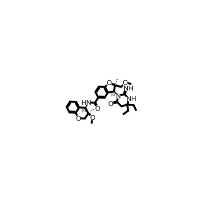 CCC1(CC)CC(=O)N([C@H]2c3cc(C(=O)N[C@@H]4c5ccccc5OC[C@]4(C)OC)ccc3O[C@@]2(C)COC)C(=N)N1